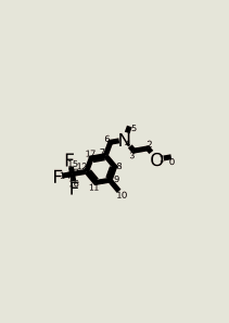 COCCN(C)Cc1cc(C)cc(C(F)(F)F)c1